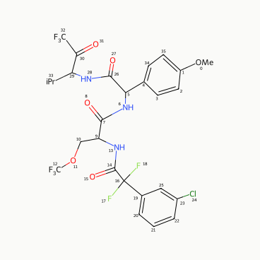 COc1ccc(C(NC(=O)C(COC(F)(F)F)NC(=O)C(F)(F)c2cccc(Cl)c2)C(=O)NC(C(=O)C(F)(F)F)C(C)C)cc1